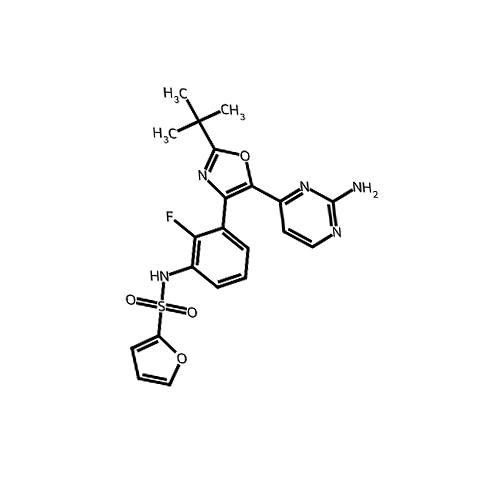 CC(C)(C)c1nc(-c2cccc(NS(=O)(=O)c3ccco3)c2F)c(-c2ccnc(N)n2)o1